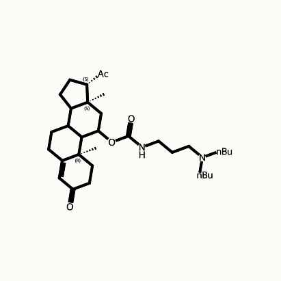 CCCCN(CCCC)CCCNC(=O)OC1C[C@@]2(C)C(CC[C@@H]2C(C)=O)C2CCC3=CC(=O)CC[C@]3(C)C12